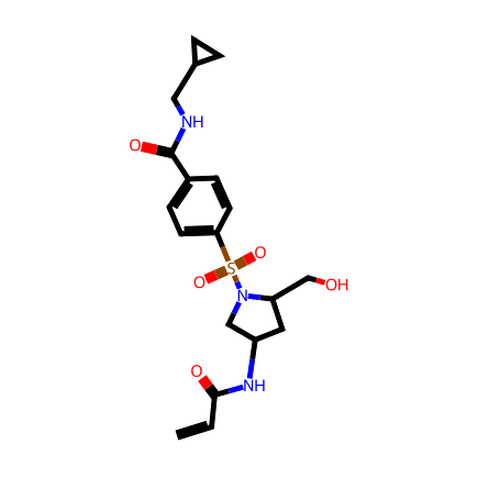 C=CC(=O)NC1CC(CO)N(S(=O)(=O)c2ccc(C(=O)NCC3CC3)cc2)C1